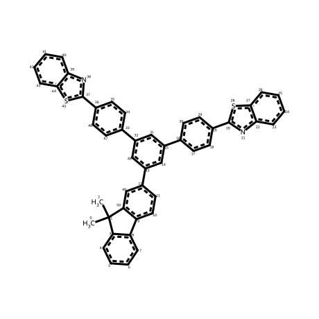 CC1(C)c2ccccc2-c2ccc(-c3cc(-c4ccc(-c5nc6ccccc6s5)cc4)cc(-c4ccc(-c5nc6ccccc6s5)cc4)c3)cc21